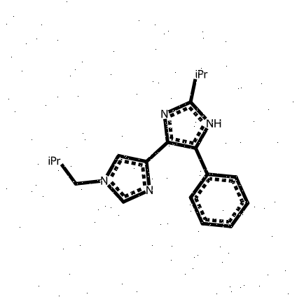 CC(C)Cn1cnc(-c2nc(C(C)C)[nH]c2-c2ccccc2)c1